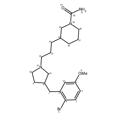 COc1ccc(Br)c(CC2CCN(CCCC3CCCN(C(N)=O)C3)C2)c1